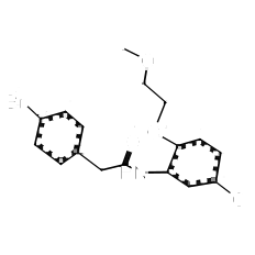 COCCOc1ccc(Cl)cc1NC(=O)Cc1ccc(Br)cc1